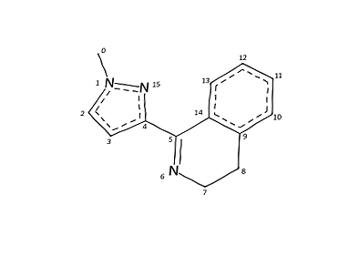 Cn1ccc(C2=NCCc3ccccc32)n1